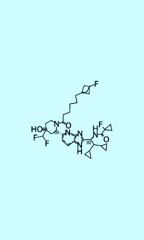 O=C(CCCCCC12CC(F)(C1)C2)N1CC[C@](O)(C(F)F)C[C@H]1c1ccc2[nH]c([C@@H](NC(=O)C3(F)CC3)C(C3CC3)C3CC3)nc2n1